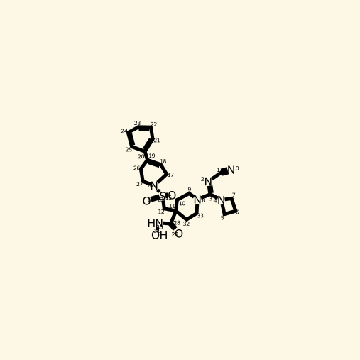 N#CN=C(N1CCC1)N1CCC(CS(=O)(=O)N2CC=C(c3ccccc3)CC2)(C(=O)NO)CC1